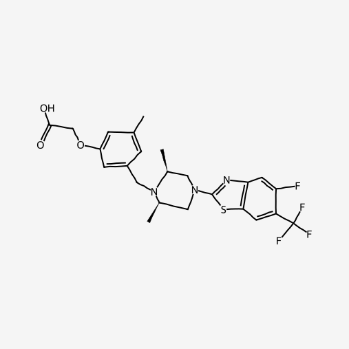 Cc1cc(CN2[C@H](C)CN(c3nc4cc(F)c(C(F)(F)F)cc4s3)C[C@@H]2C)cc(OCC(=O)O)c1